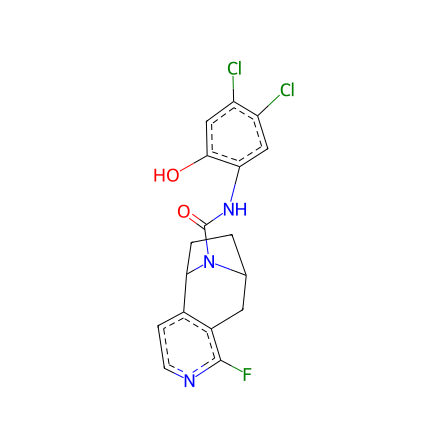 O=C(Nc1cc(Cl)c(Cl)cc1O)N1C2CCC1c1ccnc(F)c1C2